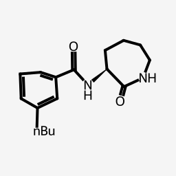 CCCCc1cccc(C(=O)N[C@H]2CCCCNC2=O)c1